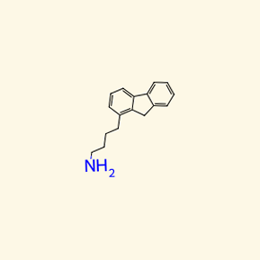 NCCCCc1cccc2c1Cc1ccccc1-2